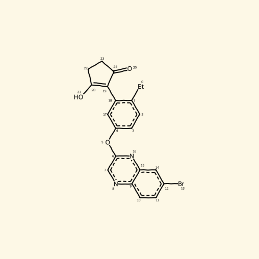 CCc1ccc(Oc2cnc3ccc(Br)cc3n2)cc1C1=C(O)CCC1=O